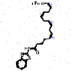 CCCCC/C=C\C/C=C\C/C=C\C/C=C\CCCC(=O)Nc1nc2ccccc2s1